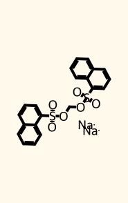 O=S(=O)(OCOS(=O)(=O)c1cccc2ccccc12)c1cccc2ccccc12.[Na].[Na]